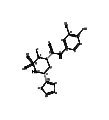 CN1[C@H](C(=O)Nc2ccc(F)c(F)c2)C[C@H](c2cccs2)NS1(=O)=O